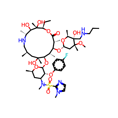 CCCNC[C@]1(O)[C@H](C)O[C@@H](O[C@H]2[C@H](C)[C@@H](O[C@@H]3O[C@H](C)C[C@H](N(C)S(=O)(=O)c4nccn4C)[C@H]3Oc3ccc(F)cc3)[C@](C)(O)C[C@@H](C)CN[C@H](C)[C@@H](O)[C@](C)(O)[C@@H](CC)OC(=O)[C@@H]2C)C[C@@]1(C)OC